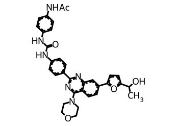 CC(=O)Nc1ccc(NC(=O)Nc2ccc(-c3nc(N4CCOCC4)c4ccc(-c5ccc(C(C)O)o5)cc4n3)cc2)cc1